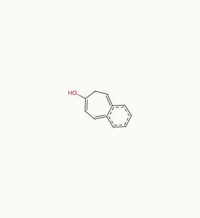 OC1=CC=c2ccccc2=CC1